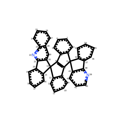 c1ccc2c(c1)C1=C(c3ccccc3C13c1ccccc1-c1nc4ccccc4cc13)C21c2ccccc2-c2ncccc21